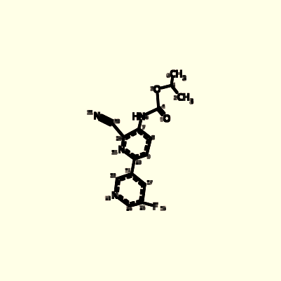 CC(C)OC(=O)Nc1ccc(-c2cncc(F)c2)nc1C#N